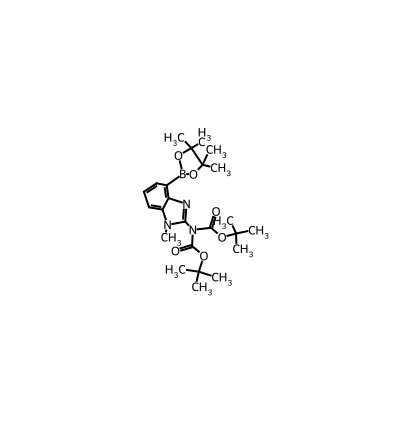 Cn1c(N(C(=O)OC(C)(C)C)C(=O)OC(C)(C)C)nc2c(B3OC(C)(C)C(C)(C)O3)cccc21